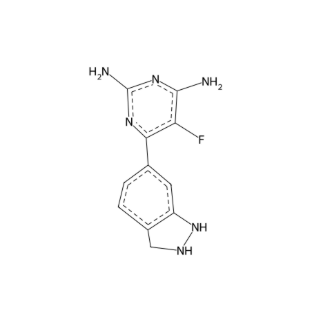 Nc1nc(N)c(F)c(-c2ccc3c(c2)NNC3)n1